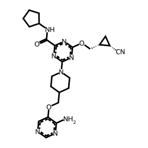 N#C[C@H]1C[C@H]1COc1nc(C(=O)NC2CCCC2)nc(N2CCC(COc3cncnc3N)CC2)n1